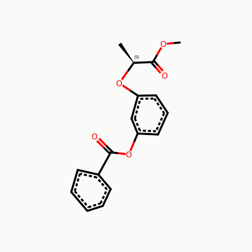 COC(=O)[C@H](C)Oc1cccc(OC(=O)c2ccccc2)c1